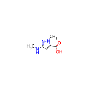 CNc1cc(C(=O)O)n(C)n1